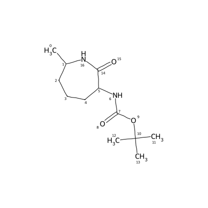 CC1CCCC(NC(=O)OC(C)(C)C)C(=O)N1